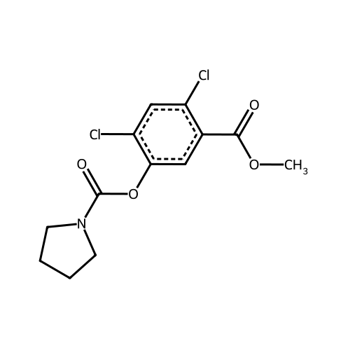 COC(=O)c1cc(OC(=O)N2CCCC2)c(Cl)cc1Cl